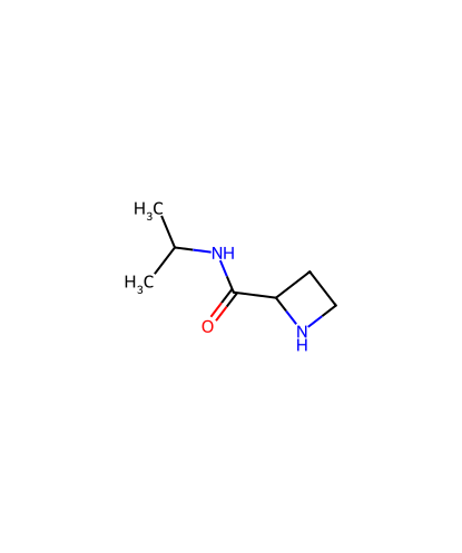 CC(C)NC(=O)C1CCN1